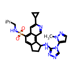 CC(C)CNS(=O)(=O)c1cc2c(c3cnc(C4CC4)cc13)C(Nc1nncn1-c1ccnn1C)CC2